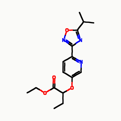 CCOC(=O)C(CC)Oc1ccc(-c2noc(C(C)C)n2)nc1